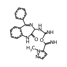 Cn1nccc1C(=N)OC(=N)NC1N=C(c2ccccc2)c2ccccc2NC1=O